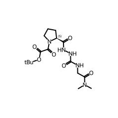 CN(C)C(=O)CNC(=O)NNC(=O)[C@@H]1CCCN1C(=O)C(=O)OC(C)(C)C